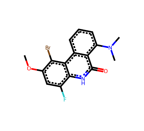 COc1cc(F)c2[nH]c(=O)c3c(N(C)C)cccc3c2c1Br